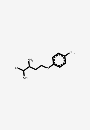 CCC(O)C(N)CCOc1ccc(C)cc1